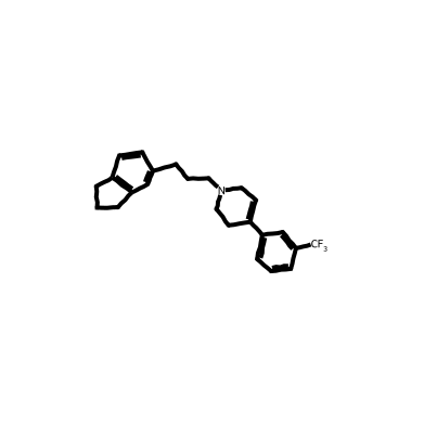 FC(F)(F)c1cccc(C2=CCN(CCCc3ccc4c(c3)CCC4)CC2)c1